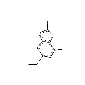 CC(C)c1nc2cc(CN)cc(F)c2o1